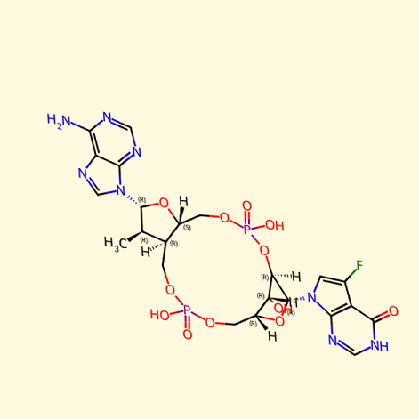 C[C@@H]1[C@@H]2COP(=O)(O)OC[C@H]3O[C@@H](n4cc(F)c5c(=O)[nH]cnc54)[C@H](OP(=O)(O)OC[C@H]2O[C@H]1n1cnc2c(N)ncnc21)[C@@H]3O